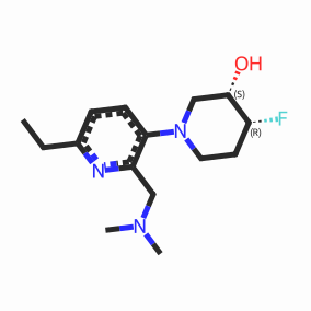 CCc1ccc(N2CC[C@@H](F)[C@@H](O)C2)c(CN(C)C)n1